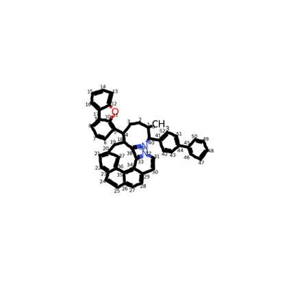 CC1CCC(c2cccc3c2oc2ccccc23)C2Cc3ccc4ccc5ccc6ccnc(c6c5c4c3)/C2=N/C1c1ccc(-c2ccccc2)cc1